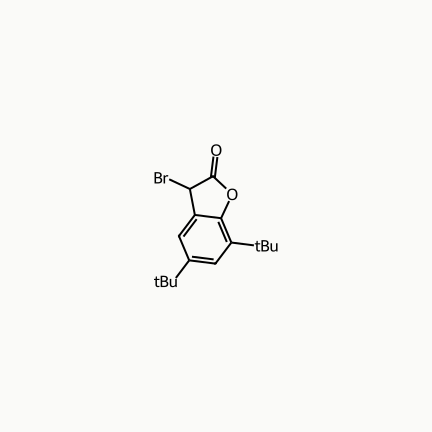 CC(C)(C)c1cc2c(c(C(C)(C)C)c1)OC(=O)C2Br